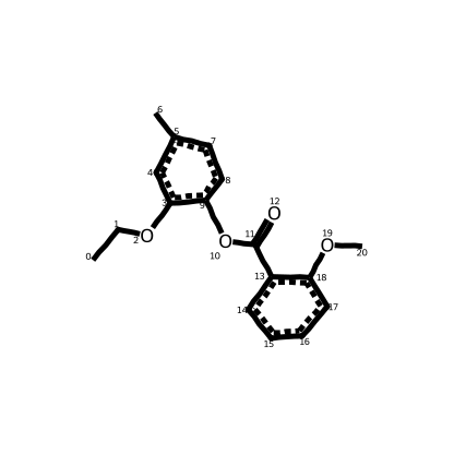 CCOc1cc(C)ccc1OC(=O)c1ccccc1OC